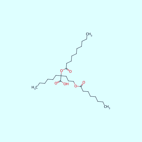 CCCCCCCCCC(=O)OC(CCCCCC)(CCCOC(=O)CCCCCCC)C(=O)O